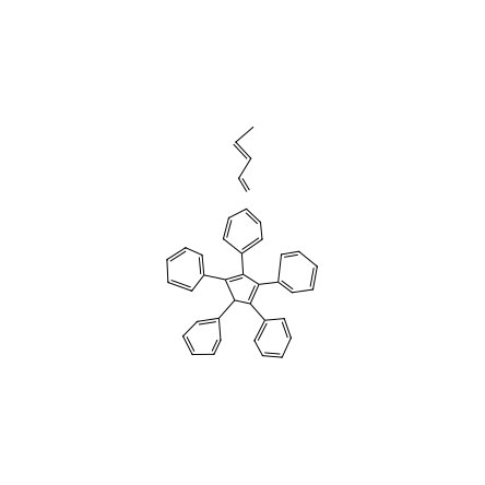 C=CC=CC.c1ccc(C2=C(c3ccccc3)C(c3ccccc3)C(c3ccccc3)=C2c2ccccc2)cc1